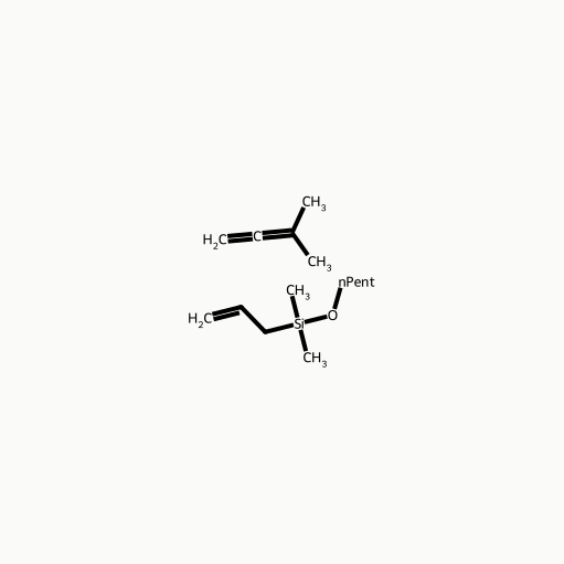 C=C=C(C)C.C=CC[Si](C)(C)OCCCCC